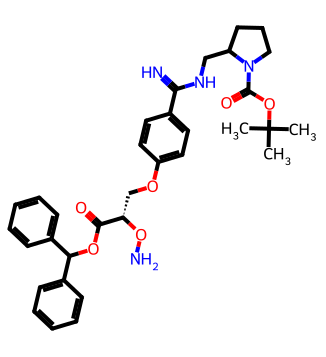 CC(C)(C)OC(=O)N1CCCC1CNC(=N)c1ccc(OC[C@H](ON)C(=O)OC(c2ccccc2)c2ccccc2)cc1